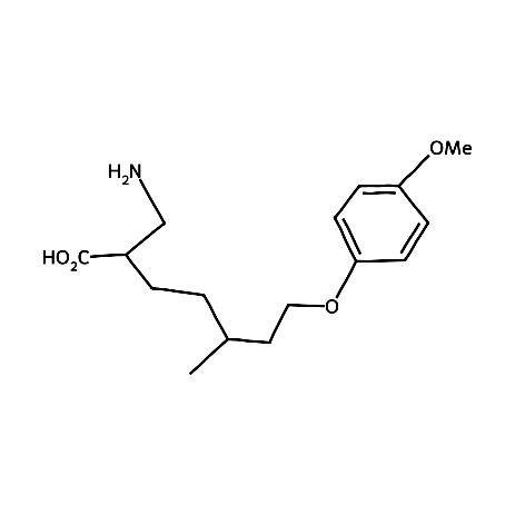 COc1ccc(OCCC(C)CCC(CN)C(=O)O)cc1